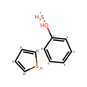 Oc1ccccc1.S.c1ccsc1